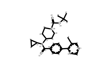 Cc1cncnc1-c1ccc(C(=O)N(C2CC2)C2CCN(C(=O)OC(C)(C)C)CC2)cc1